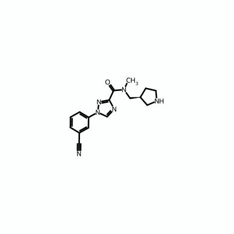 CN(C[C@H]1CCNC1)C(=O)c1ncn(-c2cccc(C#N)c2)n1